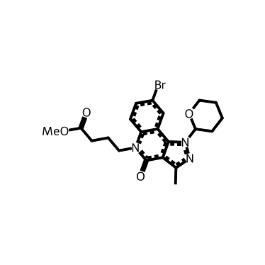 COC(=O)CCCn1c(=O)c2c(C)nn(C3CCCCO3)c2c2cc(Br)ccc21